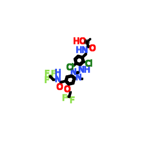 C[C@H](O)C(=O)NCc1ccc(Cl)c(Nc2nc3cc(C(=O)NCC(F)(F)F)c(OCC(F)F)cc3n2C)c1Cl